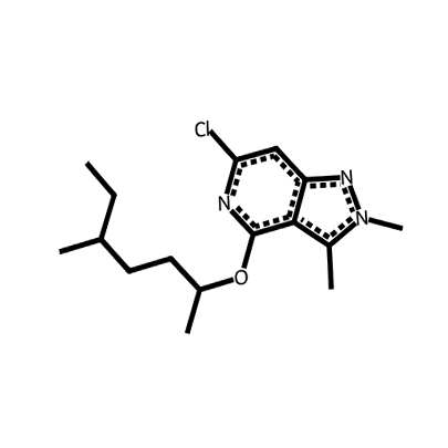 CCC(C)CCC(C)Oc1nc(Cl)cc2nn(C)c(C)c12